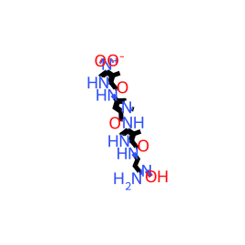 Cc1c(NC(=O)c2cc(NC(=O)c3[nH]cc([N+](=O)[O-])c3C)cn2C)c[nH]c1C(=O)NCCC(N)=NO